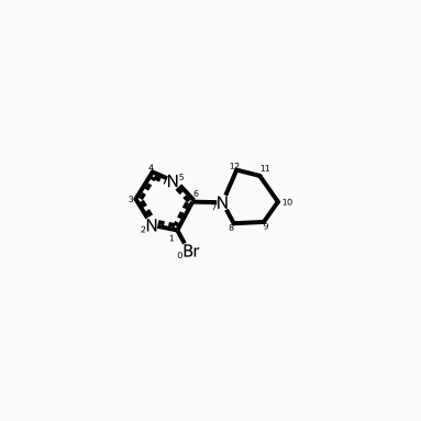 Brc1nccnc1N1CCCCC1